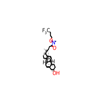 C[C@H](CCC(=O)N(C)OCCCC(F)(F)F)[C@H]1CC[C@H]2[C@@H]3CC=C4C[C@@H](O)CC[C@]4(C)[C@H]3CC[C@]12C